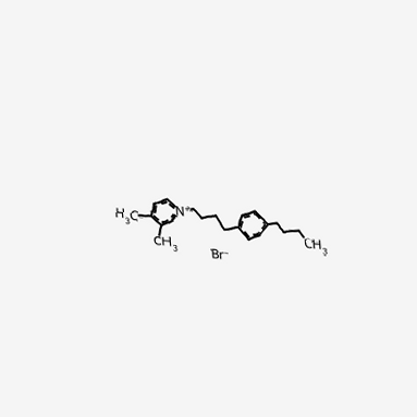 CCCCc1ccc(CCCC[n+]2ccc(C)c(C)c2)cc1.[Br-]